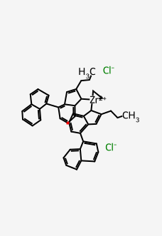 CCCC1=Cc2c(-c3cccc4ccccc34)cccc2[CH]1[Zr+2]1([CH]2C(CCC)=Cc3c(-c4cccc5ccccc45)cccc32)[CH2][CH2]1.[Cl-].[Cl-]